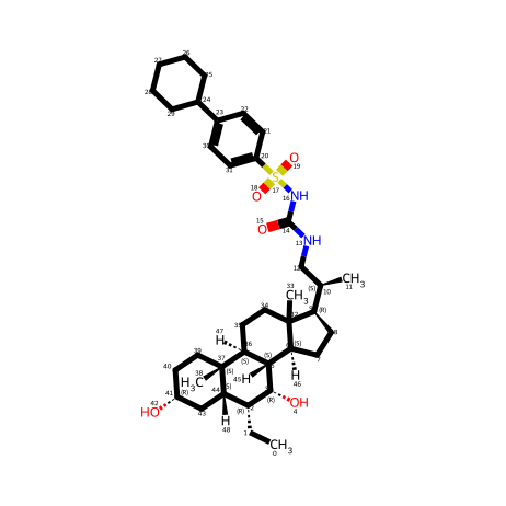 CC[C@H]1[C@@H](O)[C@H]2[C@@H]3CC[C@H]([C@H](C)CNC(=O)NS(=O)(=O)c4ccc(C5CCCCC5)cc4)C3(C)CC[C@@H]2[C@@]2(C)CC[C@@H](O)C[C@@H]12